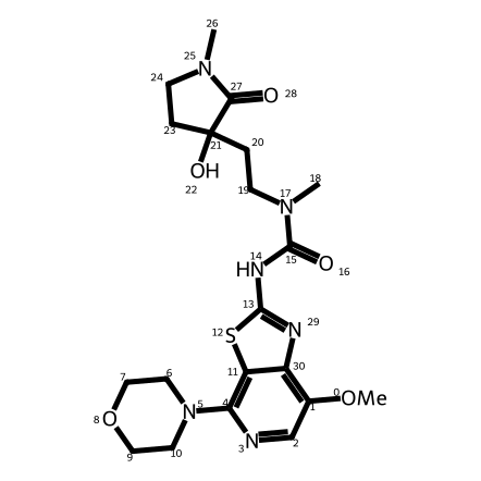 COc1cnc(N2CCOCC2)c2sc(NC(=O)N(C)CCC3(O)CCN(C)C3=O)nc12